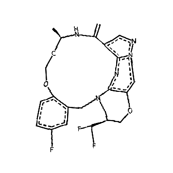 C=C1N[C@H](C)CCOc2ccc(F)cc2CN2c3nc4c1cnn4cc3OC[C@H]2C(F)F